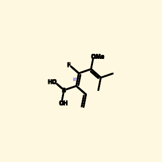 C=C/C(B(O)O)=C(/F)C(OC)=C(C)C